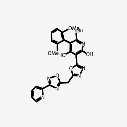 CCCCc1nc(O)c(-c2nnc(Cc3nc(-c4ccccn4)no3)o2)c(O)c1-c1c(OC)cccc1OC